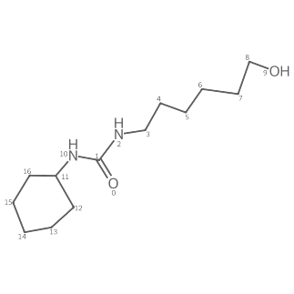 O=C(NCCCCCCO)NC1CCCCC1